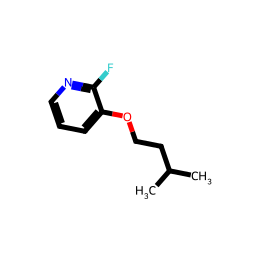 CC(C)CCOc1cccnc1F